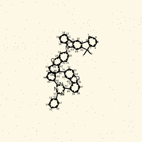 CC1(C)c2ccccc2-c2cc3c4ccccc4n(-c4ccc5c(c4)oc4cccc(-c6ccc7oc8cccc(-c9nc(-c%10ccccc%10)nc(-c%10ccccc%10)n9)c8c7c6)c45)c3cc21